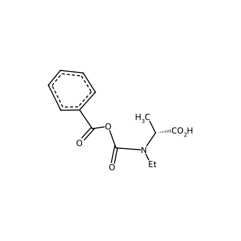 CCN(C(=O)OC(=O)c1ccccc1)[C@H](C)C(=O)O